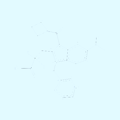 CC(C)c1ccc2c(c1)c(C(=O)C1CCC1)c(CC(C)(C)C(=O)O)n2Cc1cccnc1